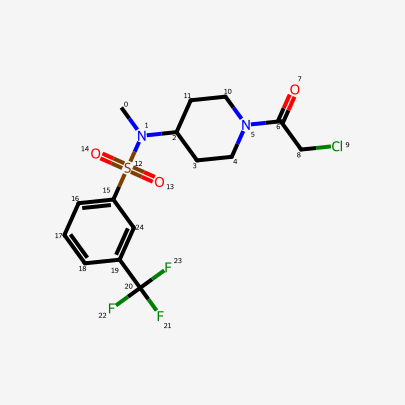 CN(C1CCN(C(=O)CCl)CC1)S(=O)(=O)c1cccc(C(F)(F)F)c1